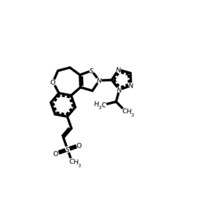 CC(C)n1ncnc1N1CC2=C(CCOc3ccc(/C=C/S(C)(=O)=O)cc32)S1